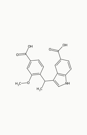 COc1cc(C(=O)O)ccc1C(C)c1c[nH]c2ccc(C(=O)O)cc12